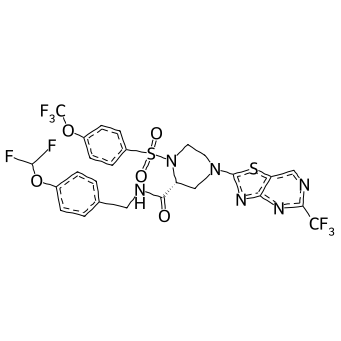 O=C(NCc1ccc(OC(F)F)cc1)[C@H]1CN(c2nc3nc(C(F)(F)F)ncc3s2)CCN1S(=O)(=O)c1ccc(OC(F)(F)F)cc1